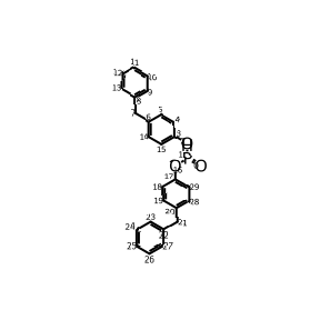 O=[PH](Oc1ccc(Cc2ccccc2)cc1)Oc1ccc(Cc2ccccc2)cc1